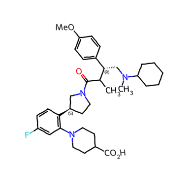 COc1ccc([C@H](CN(C)C2CCCCC2)C(C)C(=O)N2CC[C@@H](c3ccc(F)cc3N3CCC(C(=O)O)CC3)C2)cc1